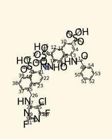 O=C(Nc1cc(S(=O)(=O)O)cc2cc(S(=O)(=O)O)c(/N=N/c3ccc4c(CNc5nc(F)nc(F)c5Cl)cccc4c3S(=O)(=O)O)c(O)c12)c1ccccc1